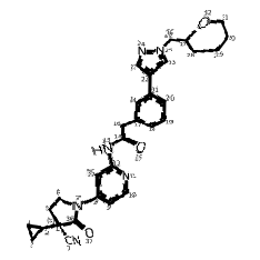 N#C[C@@]1(C2CC2)CCN(c2ccnc(NC(=O)Cc3cccc(-c4cnn(CC5CCCCO5)c4)c3)c2)C1=O